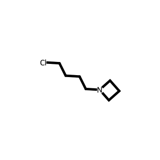 ClCCCCN1CCC1